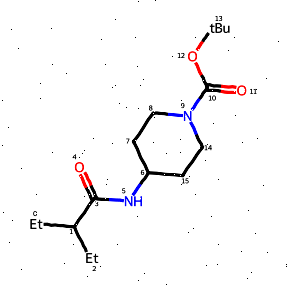 CCC(CC)C(=O)NC1CCN(C(=O)OC(C)(C)C)CC1